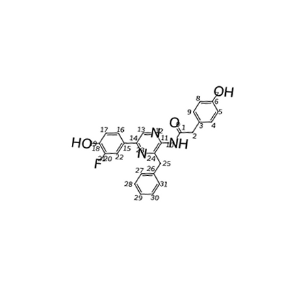 O=C(Cc1ccc(O)cc1)Nc1ncc(-c2ccc(O)c(F)c2)nc1Cc1ccccc1